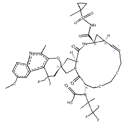 COc1ccc2nc(C)c3c(c2c1)C(F)(F)C[C@]1(C[C@H]2C(=O)N[C@]4(C(=O)NS(=O)(=O)C5(C)CC5)C[C@H]4/C=C\CCCCC[C@H](N(C(=O)O)C(C)(C)C(F)(F)F)C(=O)N2C1)O3